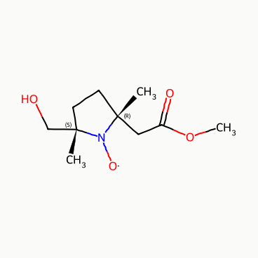 COC(=O)C[C@@]1(C)CC[C@@](C)(CO)N1[O]